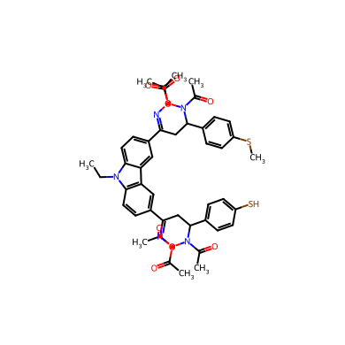 CCn1c2ccc(/C(CC(c3ccc(S)cc3)N(OC(C)=O)C(C)=O)=N/OC(C)=O)cc2c2cc(/C(CC(c3ccc(SC)cc3)N(OC(C)=O)C(C)=O)=N/OC(C)=O)ccc21